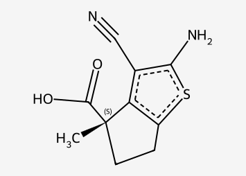 C[C@]1(C(=O)O)CCc2sc(N)c(C#N)c21